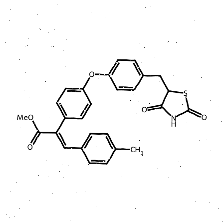 COC(=O)C(=Cc1ccc(C)cc1)c1ccc(Oc2ccc(CC3SC(=O)NC3=O)cc2)cc1